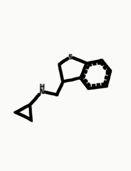 c1ccc2c(c1)SCC2CNC1CC1